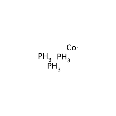 P.P.P.[Co]